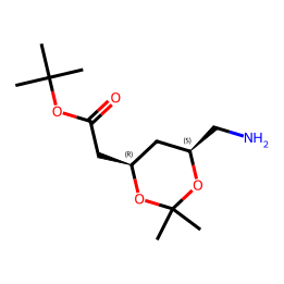 CC(C)(C)OC(=O)C[C@H]1C[C@@H](CN)OC(C)(C)O1